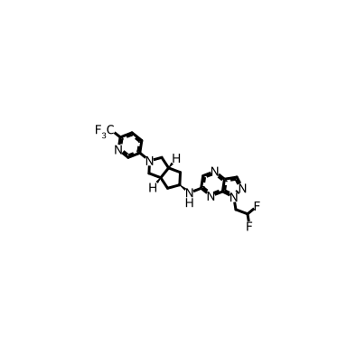 FC(F)Cn1ncc2ncc(N[C@H]3C[C@@H]4CN(c5ccc(C(F)(F)F)nc5)C[C@@H]4C3)nc21